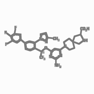 Cc1ccn(-c2cc(-c3cc(F)c(F)c(F)c3)ccc2[C@@H](Oc2cc(N3CCC4(CC3)CNC(C(=O)O)C4)nc(N)n2)C(F)(F)F)n1